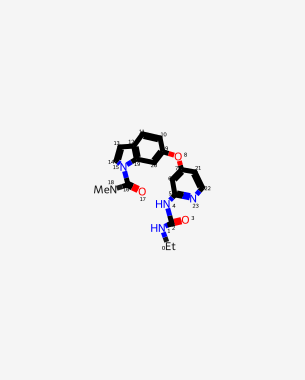 CCNC(=O)Nc1cc(Oc2ccc3ccn(C(=O)NC)c3c2)ccn1